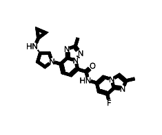 Cc1cn2cc(NC(=O)c3ccc(N4CC[C@H](NC5CC5)C4)c4nc(C)nn34)cc(F)c2n1